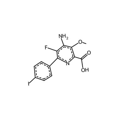 COc1c(C(=O)O)nc(-c2ccc(I)cc2)c(F)c1N